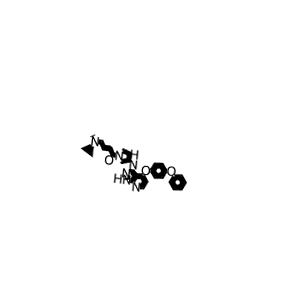 CN(C/C=C/C(=O)N1CC[C@@H](Nc2n[nH]c3nccc(Oc4ccc(Oc5ccccc5)cc4)c23)C1)C1CC1